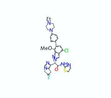 CCN1CCN(c2ccc(-c3cc(Cl)c4cn(C(C(=O)Nc5nccs5)c5ncn6c5C[C@@H](F)C6)nc4c3OC)cc2)CC1